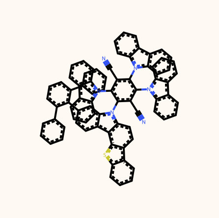 N#Cc1c(-n2c3ccccc3c3ccccc32)c(-n2c3ccccc3c3ccccc32)c(C#N)c(-n2c3cc(-c4c(-c5ccccc5)cccc4-c4ccccc4)ccc3c3c4sc5ccccc5c4ccc32)c1-n1c2ccccc2c2ccccc21